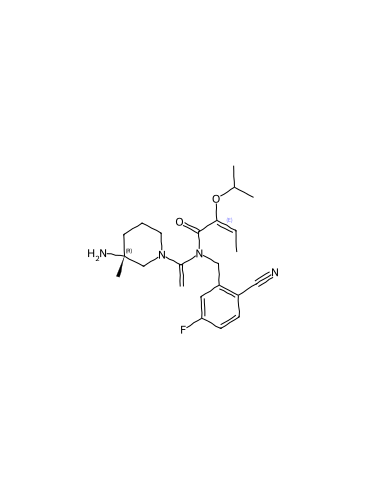 C=C(N1CCC[C@@](C)(N)C1)N(Cc1cc(F)ccc1C#N)C(=O)/C(=C\C)OC(C)C